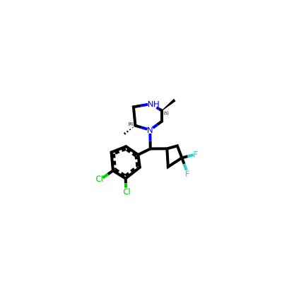 C[C@@H]1CN[C@@H](C)CN1C(c1ccc(Cl)c(Cl)c1)C1CC(F)(F)C1